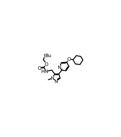 Cn1ncc(-c2ccc(OC3CCCCC3)cn2)c1CNC(=O)OCC(C)(C)C